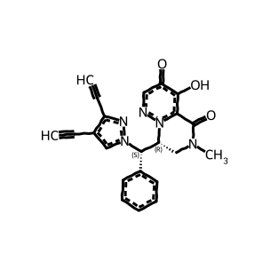 C#Cc1cn([C@@H](c2ccccc2)[C@H]2CN(C)C(=O)c3c(O)c(=O)cnn32)nc1C#C